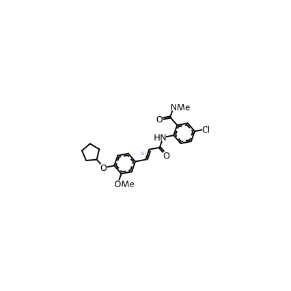 CNC(=O)c1cc(Cl)ccc1NC(=O)/C=C/c1ccc(OC2CCCC2)c(OC)c1